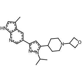 Cc1c[nH]c2ncc(-c3cc(C4CCN(C5COC5)CC4)n(C(C)C)n3)cc12